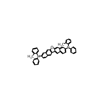 Cc1ccccc1N(c1ccccc1)c1ccc2cc3c(cc2c1)oc1cc2cc(N(c4ccccc4)c4ccccc4C)ccc2cc13